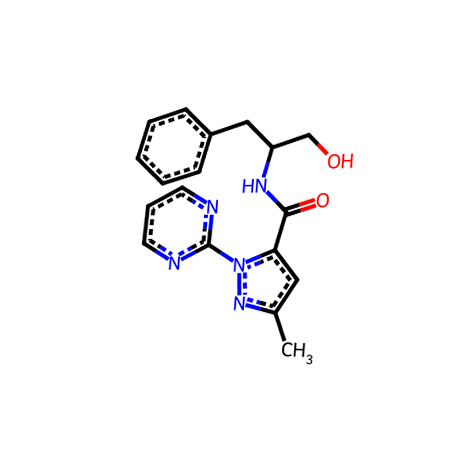 Cc1cc(C(=O)NC(CO)Cc2ccccc2)n(-c2ncccn2)n1